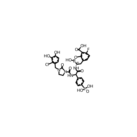 O=C(O)c1c(F)ccc2c1OB(O)[C@@H](NC(=O)C(NC(=O)N1CCN(Cc3ccc(O)c(O)c3Cl)C1=O)c1ccc(P(=O)(O)O)cc1)C2